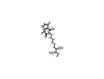 CCC(O)C(O)CCCCCCn1c(=O)c2c(ncn2C)n(C)c1=O